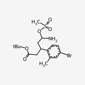 Cc1cc(Br)ccc1C(CC(=O)OC(C)(C)C)CC(N)OS(C)(=O)=O